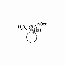 BCC12CC1(CC)N(CCCCCCCC)BB1CCCCCCCC12